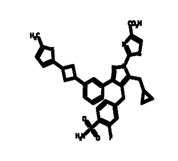 Cc1ccc(C2CC(c3cccc(-c4nn(-c5nc(C(=O)O)cs5)c(CC5CC5)c4Cc4ccc(S(N)(=O)=O)c(F)c4)c3)C2)s1